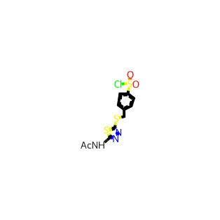 CC(=O)Nc1nnc(SCc2ccc(S(=O)(=O)Cl)cc2)s1